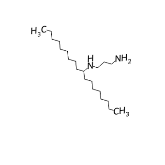 CCCCCCCCCC(CCCCCCCC)NCCCN